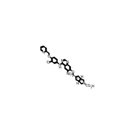 O=C(O)N1C[C@H]2C[C@H](COc3cc4ncnc(Nc5ccc(OCc6ccccn6)c(Cl)c5)c4cc3[N+](=O)[O-])C[C@H]2C1